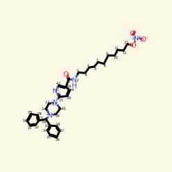 O=C(NCCCCCCCCCCCO[N+](=O)[O-])c1ccc(N2CCN(C(c3ccccc3)c3ccccc3)CC2)nc1